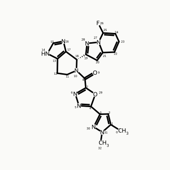 Cc1cc(-c2nnc(C(=O)N3CCc4[nH]cnc4[C@@H]3c3cc4cccc(F)n4n3)o2)nn1C